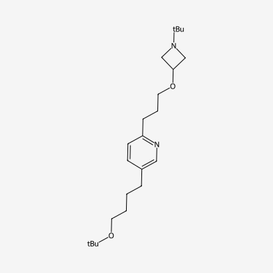 CC(C)(C)OCCCCc1ccc(CCCOC2CN(C(C)(C)C)C2)nc1